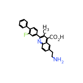 Cc1c(-c2ccc(-c3ccccc3)c(F)c2)nc2ccc(CCN)cc2c1C(=O)O